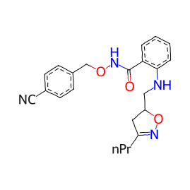 CCCC1=NOC(CNc2ccccc2C(=O)NOCc2ccc(C#N)cc2)C1